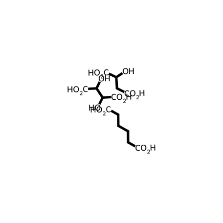 O=C(O)C(O)C(O)C(=O)O.O=C(O)CC(O)C(=O)O.O=C(O)CCCCC(=O)O